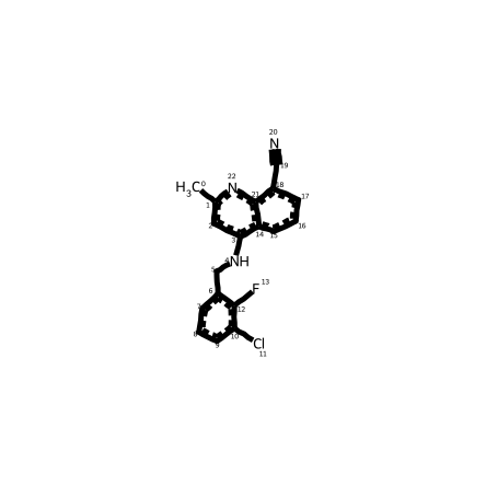 Cc1cc(NCc2cccc(Cl)c2F)c2cccc(C#N)c2n1